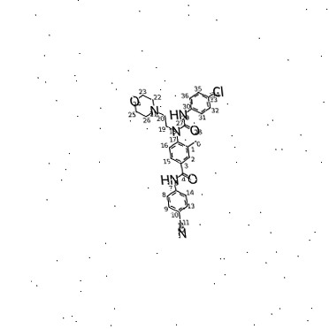 Cc1cc(C(=O)Nc2ccc(C#N)cc2)ccc1N(CCN1CCOCC1)C(=O)Nc1ccc(Cl)cc1